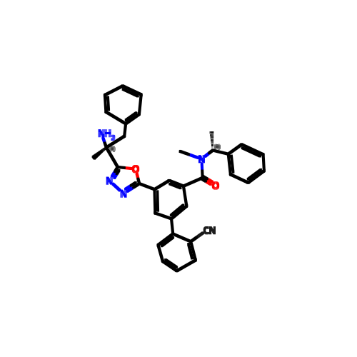 C[C@H](c1ccccc1)N(C)C(=O)c1cc(-c2nnc([C@](C)(N)Cc3ccccc3)o2)cc(-c2ccccc2C#N)c1